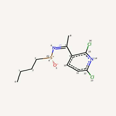 CCCC[S@@+]([O-])/N=C(/C)c1ccc(Cl)nc1Cl